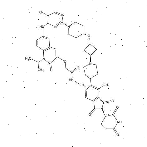 CNC(=O)COc1cc2cc(Nc3nc(N4CCC(O[C@H]5C[C@H](N6CCC(c7ccc8c(c7C)C(=O)N(C7CCC(=O)NC7=O)C8=O)CC6)C5)CC4)ncc3Cl)ccc2n(C(C)C)c1=O